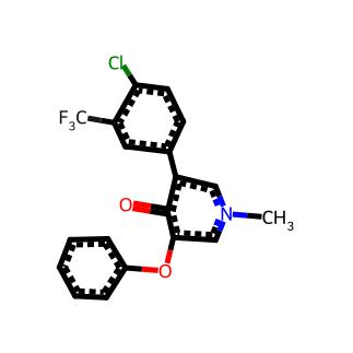 Cn1cc(Oc2ccccc2)c(=O)c(-c2ccc(Cl)c(C(F)(F)F)c2)c1